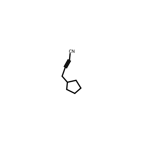 N#CC#CCC1CCCC1